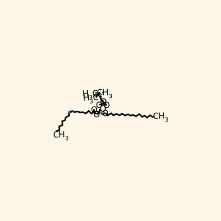 CCCCCCCCC/C=C\CCCCCCCC(=O)O[C@H](COCCCCCCCCCCCCCCCCCC)COP(=O)([O-])OCC[N+](C)(C)C